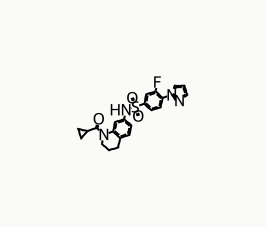 O=C(C1CC1)N1CCCc2ccc(NS(=O)(=O)c3ccc(-n4cccn4)c(F)c3)cc21